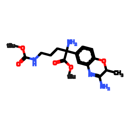 CC1Oc2ccc(C(N)(CCCNC(=O)OC(C)(C)C)C(=O)OC(C)(C)C)cc2N=C1N